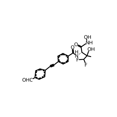 CC(O)(C(F)F)[C@H](NC(=O)c1ccc(C#Cc2ccc(C=O)cc2)cc1)C(=O)NO